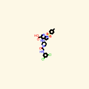 Cc1ccc(S(=O)(=O)n2ccc3c(N[C@@H]4CCCN(C(=O)CNc5cc(Cl)cc(Cl)c5)C4)c(C(=O)O)cnc32)cc1